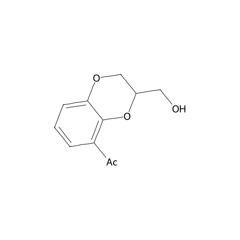 CC(=O)c1cccc2c1OC(CO)CO2